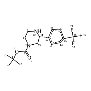 CC(C)(C)OC(=O)N1CCN[C@H](c2ccc(C(F)(F)F)cc2)C1